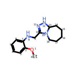 CCOc1ccccc1NCC1=NNC2CCCCCN12